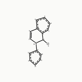 ClC1c2ccccc2C=CN1c1ccccc1